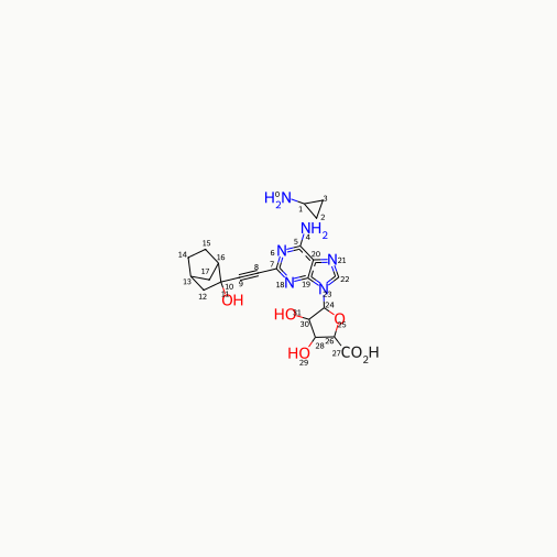 NC1CC1.Nc1nc(C#CC2(O)CC3CCC2C3)nc2c1ncn2C1OC(C(=O)O)C(O)C1O